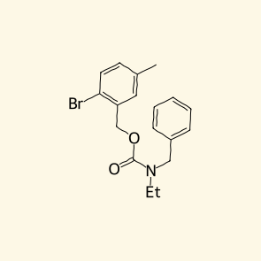 CCN(Cc1ccccc1)C(=O)OCc1cc(C)ccc1Br